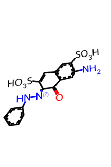 Nc1cc2c(cc1S(=O)(=O)O)C=C(S(=O)(=O)O)/C(=N\Nc1ccccc1)C2=O